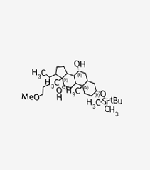 COCCCC(C)C1CCC2C3C(C[C@H](O)[C@]12C)[C@@]1(C)CC[C@@H](O[Si](C)(C)C(C)(C)C)CC1C[C@H]3O